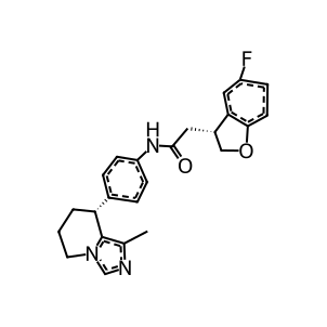 Cc1ncn2c1[C@@H](c1ccc(NC(=O)C[C@H]3COc4ccc(F)cc43)cc1)CCC2